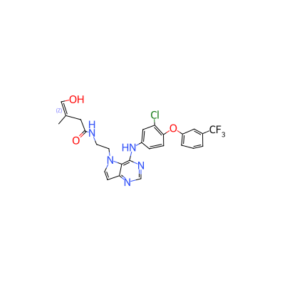 C/C(=C/O)CC(=O)NCCn1ccc2ncnc(Nc3ccc(Oc4cccc(C(F)(F)F)c4)c(Cl)c3)c21